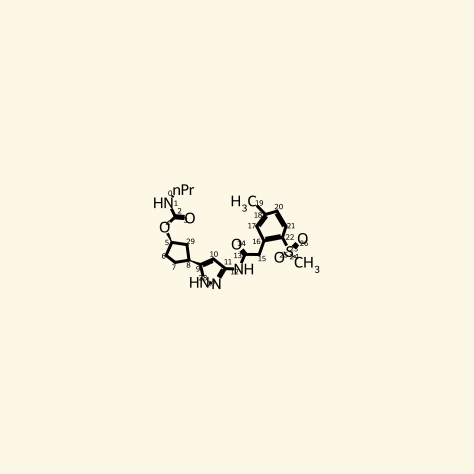 CCCNC(=O)O[C@@H]1CC[C@H](c2cc(NC(=O)Cc3cc(C)ccc3S(C)(=O)=O)n[nH]2)C1